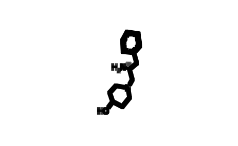 N[C@H](Cc1ccccc1)CN1CCC(O)CC1